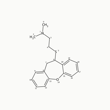 CN(C)CCSC1Cc2ccccc2Oc2ccccc21